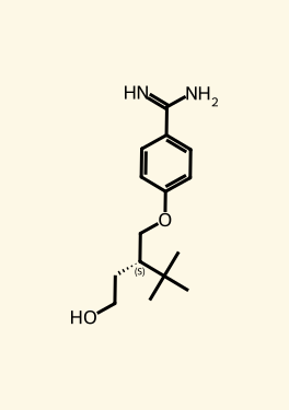 CC(C)(C)[C@H](CCO)COc1ccc(C(=N)N)cc1